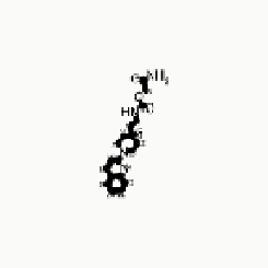 NC(=O)COC(=O)NCCC1(F)CCN(c2ccc3ccccc3n2)CC1